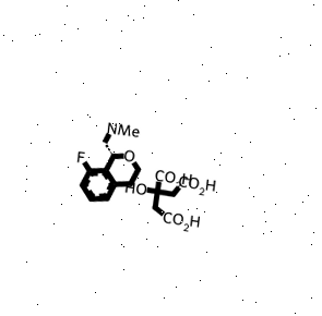 CNC[C@@H]1OCCc2cccc(F)c21.O=C(O)CC(O)(CC(=O)O)C(=O)O